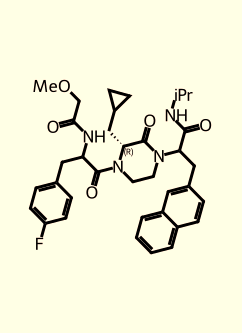 COCC(=O)NC(Cc1ccc(F)cc1)C(=O)N1CCN(C(Cc2ccc3ccccc3c2)C(=O)NC(C)C)C(=O)[C@H]1CC1CC1